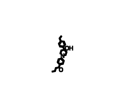 CCCC(=O)c1ccc(N2CCC(O)(c3ccc(CC)cc3)CC2)cc1